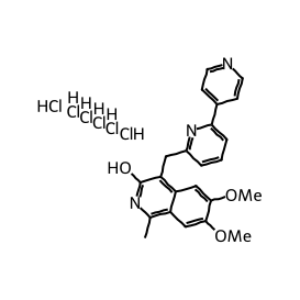 COc1cc2c(C)nc(O)c(Cc3cccc(-c4ccncc4)n3)c2cc1OC.Cl.Cl.Cl.Cl.Cl.Cl